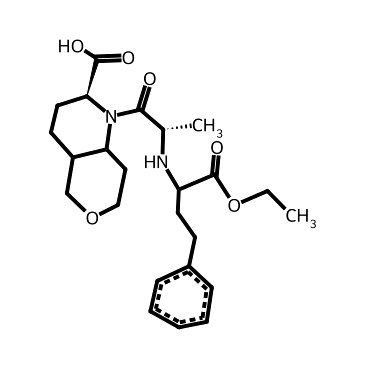 CCOC(=O)C(CCc1ccccc1)N[C@@H](C)C(=O)N1C2CCOCC2CC[C@H]1C(=O)O